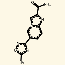 CC(C)c1nc(-c2ccc3nc(C(N)=O)cn3c2)no1